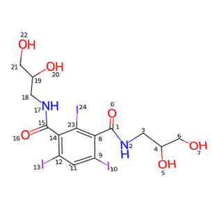 O=C(NCC(O)CO)c1c(I)[c]c(I)c(C(=O)NCC(O)CO)c1I